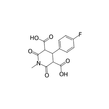 CN1C(=O)C(C(=O)O)C(c2ccc(F)cc2)C(C(=O)O)C1=O